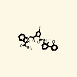 NC(=O)c1nn(CC(=O)C2=CC(F)C[C@H]2C(=O)Nc2cccc(-c3ccccc3Cl)c2F)c2ccccc12